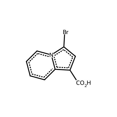 O=C(O)c1cc(Br)n2ccccc12